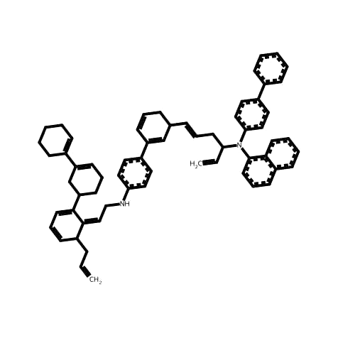 C=CCC1C=CC=C(C2CCC=C(C3=CCCCC3)C2)/C1=C\CNc1ccc(C2=CC(/C=C/CC(C=C)N(c3ccc(-c4ccccc4)cc3)c3cccc4ccccc34)CC=C2)cc1